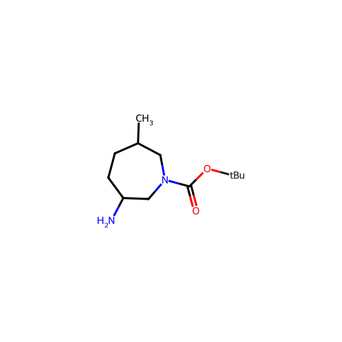 CC1CCC(N)CN(C(=O)OC(C)(C)C)C1